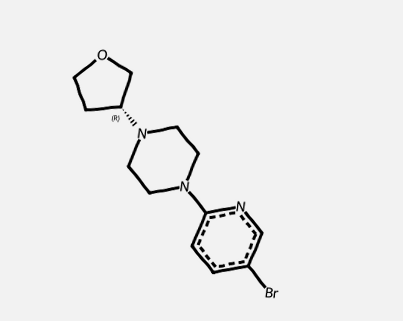 Brc1ccc(N2CCN([C@@H]3CCOC3)CC2)nc1